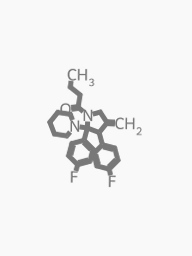 C=C1CN(C(=O)CCC)C(c2ccc(F)cc2)(N2CCCCC2)C1c1ccc(F)cc1